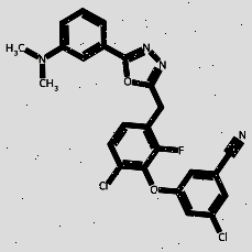 CN(C)c1cccc(-c2nnc(Cc3ccc(Cl)c(Oc4cc(Cl)cc(C#N)c4)c3F)o2)c1